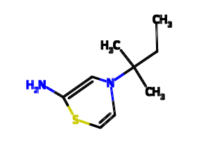 CCC(C)(C)N1C=CSC(N)=C1